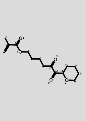 C=C(C)C(=O)OCCCCC(=O)C(=O)C1CCCCO1